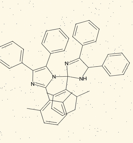 CC1=C(C2(n3c(-c4c(C)cccc4C)nc(-c4ccccc4)c3-c3ccccc3)N=C(c3ccccc3)C(c3ccccc3)N2)C(C)CC=C1